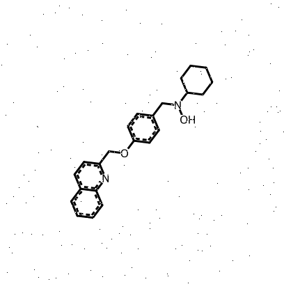 ON(Cc1ccc(OCc2ccc3ccccc3n2)cc1)C1CCCCC1